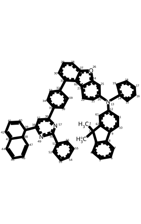 CC1(C)c2ccccc2-c2ccc(N(c3ccccc3)c3ccc4c(c3)oc3cccc(-c5ccc(-c6cc(C7C=CC=C8C=CC=CC87)nc(-c7ccccc7)n6)cc5)c34)cc21